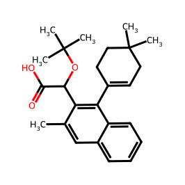 Cc1cc2ccccc2c(C2=CCC(C)(C)CC2)c1C(OC(C)(C)C)C(=O)O